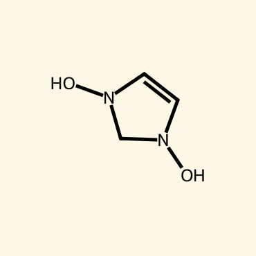 ON1C=CN(O)C1